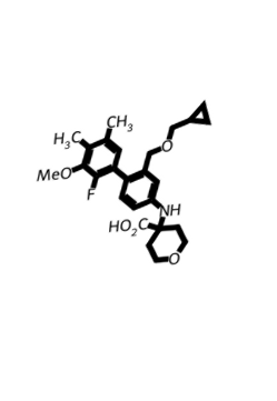 COc1c(C)c(C)cc(-c2ccc(NC3(C(=O)O)CCOCC3)cc2COCC2CC2)c1F